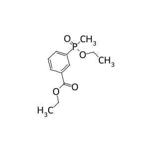 CCOC(=O)c1cccc(P(C)(=O)OCC)c1